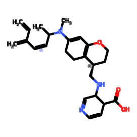 C=CC(=C)/C=C\C(C)N(C)C1=CC2=C(CC1)[C@H](CNC1C=NC=CC1C(=O)O)CCO2